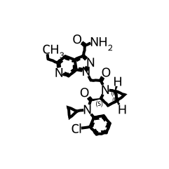 CCc1cc2c(C(N)=O)nn(CC(=O)N3[C@@H]4C[C@@H]4C[C@H]3C(=O)N(c3ccccc3Cl)C3CC3)c2cn1